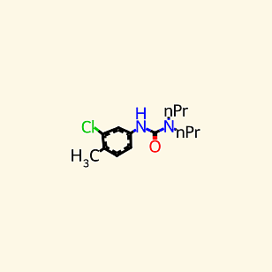 CCCN(CCC)C(=O)Nc1ccc(C)c(Cl)c1